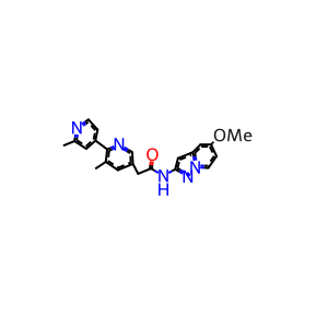 COc1ccn2nc(NC(=O)Cc3cnc(-c4ccnc(C)c4)c(C)c3)cc2c1